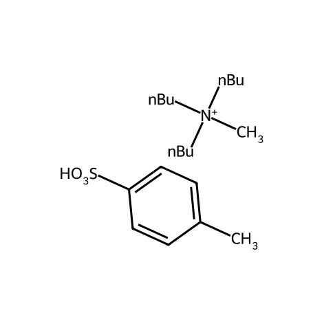 CCCC[N+](C)(CCCC)CCCC.Cc1ccc(S(=O)(=O)O)cc1